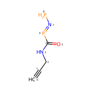 C#CCNC(=O)/P=N/P